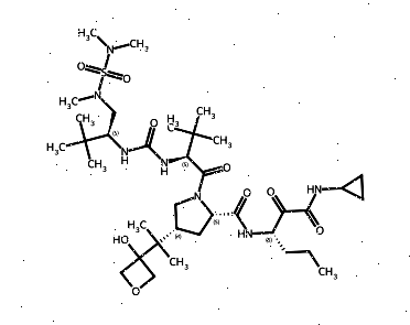 CCC[C@H](NC(=O)[C@@H]1C[C@H](C(C)(C)C2(O)COC2)CN1C(=O)[C@@H](NC(=O)N[C@H](CN(C)S(=O)(=O)N(C)C)C(C)(C)C)C(C)(C)C)C(=O)C(=O)NC1CC1